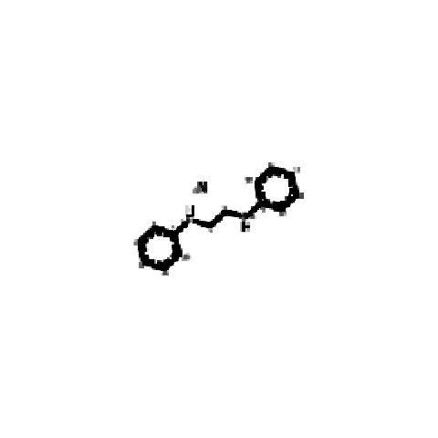 [Ni].c1ccc(PCCPc2ccccc2)cc1